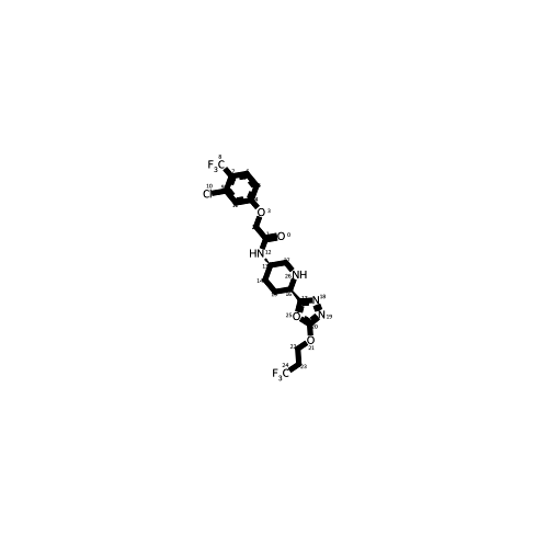 O=C(COc1ccc(C(F)(F)F)c(Cl)c1)N[C@H]1CC[C@H](c2nnc(OCCC(F)(F)F)o2)NC1